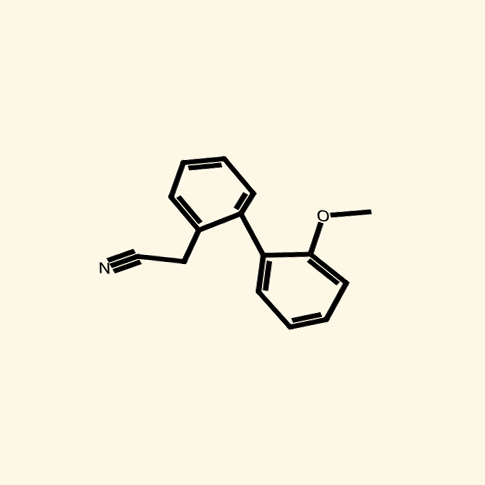 COc1ccccc1-c1ccccc1CC#N